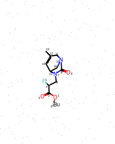 CCC(C)OC(=O)C(F)CN1C(=O)N2CC(C)=CC1C2